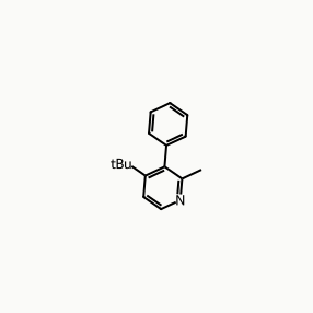 Cc1nccc(C(C)(C)C)c1-c1ccccc1